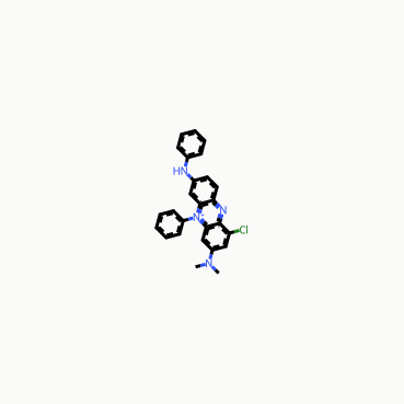 CN(C)c1cc(Cl)c2nc3ccc(Nc4ccccc4)cc3[n+](-c3ccccc3)c2c1